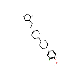 Fc1cc([C@H]2CC[C@H]([C@H]3CC[C@H](CCC4CCCC4)CC3)CC2)ccc1OC(F)(F)F